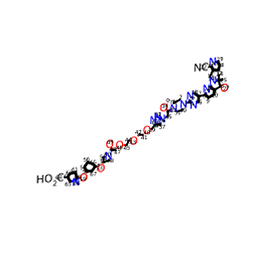 C[C@@H]1CN(c2ncc(-c3ccc4c(n3)N(Cc3cccnc3C#N)C(C)(C)C4=O)cn2)CCN1C(=O)Cn1cc(COCCOCCOCC(=O)N2CC(Oc3cccc(Oc4ccc(C(=O)O)cn4)c3)C2)nn1